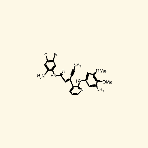 CC#C/C(=C\C(=O)Nc1cc(CC)c(Cl)cc1N)c1cccnc1Nc1cc(C)c(OC)c(OC)c1